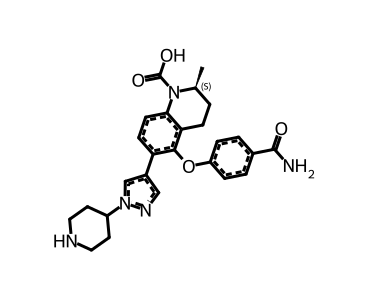 C[C@H]1CCc2c(ccc(-c3cnn(C4CCNCC4)c3)c2Oc2ccc(C(N)=O)cc2)N1C(=O)O